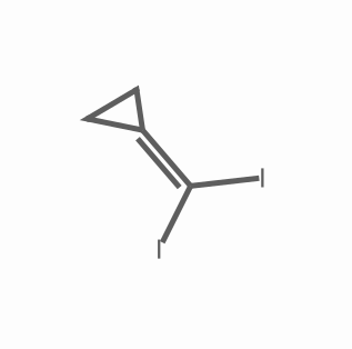 IC(I)=C1CC1